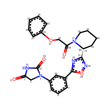 O=C1CN(c2cccc(-c3nc([C@H]4CCCCN4C(=O)COc4ccccc4)no3)c2)C(=O)N1